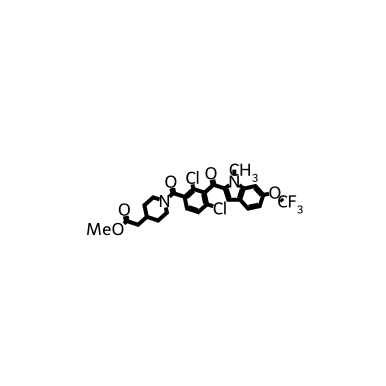 COC(=O)CC1CCN(C(=O)c2ccc(Cl)c(C(=O)c3cc4ccc(OC(F)(F)F)cc4n3C)c2Cl)CC1